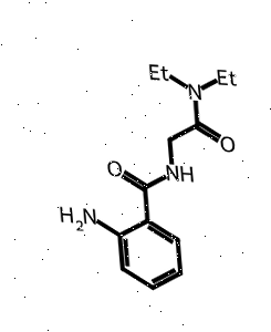 CCN(CC)C(=O)CNC(=O)c1ccccc1N